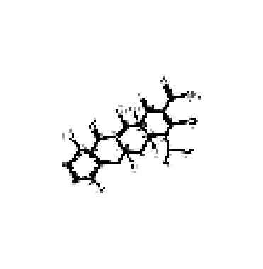 CCCN(CCC)[C@@H]1C(O)=C(C(N)=O)C(=O)[C@@]2(O)C(O)=C3C(=O)c4c(O)ccc(Cl)c4C[C@H]3C[C@@H]12